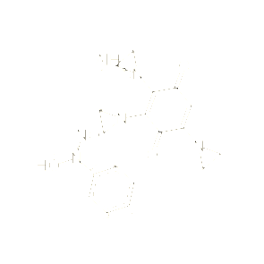 O=C1C=C(N2CC2)C(=O)C(N2CC2)=C1N1CC1.O=NN(O)c1ccccc1.[AlH3]